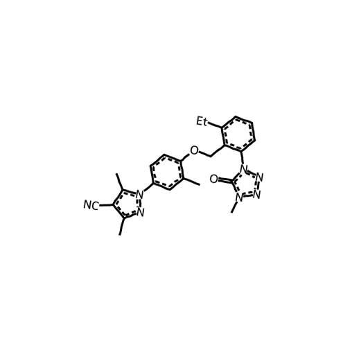 CCc1cccc(-n2nnn(C)c2=O)c1COc1ccc(-n2nc(C)c(C#N)c2C)cc1C